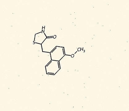 COc1ccc(CC2SCNC2=O)c2ccccc12